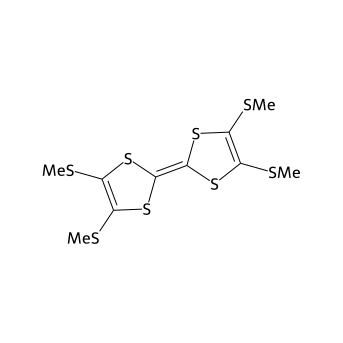 CSC1=C(SC)SC(=C2SC(SC)=C(SC)S2)S1